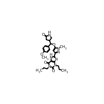 CCCn1c(=O)c2[nH]c(-c3cc(OC(c4ccc(OC)cc4)C4CNC(=O)C4)n(C)n3)nc2n(CCC)c1=O